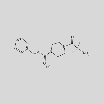 CC(C)(N)C(=O)N1CCN(C(=O)OCc2ccccc2)CC1.Cl